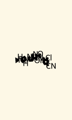 N#Cc1ccc(CNC(=O)c2ncc3nc(N4C[C@H]5C[C@@H]4CN5C4CC4)ccc3c2O)c(Cl)c1